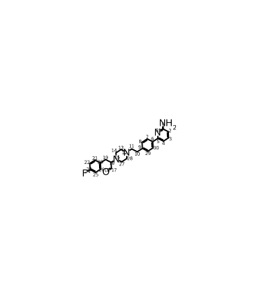 Nc1cccc(-c2ccc(CCN3CCN(C(C=O)Cc4ccc(F)cc4)CC3)cc2)n1